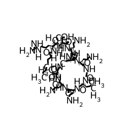 CCCCCCCC(=O)N[C@@H](CCCNC(=N)N)C(=O)N[C@H](C(=O)N[C@@H](CCN)C(=O)N[C@H]1CCNC(=O)[C@H]([C@@H](C)O)NC(=O)[C@H](CCN)NC(=O)[C@H](CCN)NC(=O)[C@H](CC(C)C)NC(=O)CNC(=O)[C@H](CCN)NC1=O)[C@@H](C)O